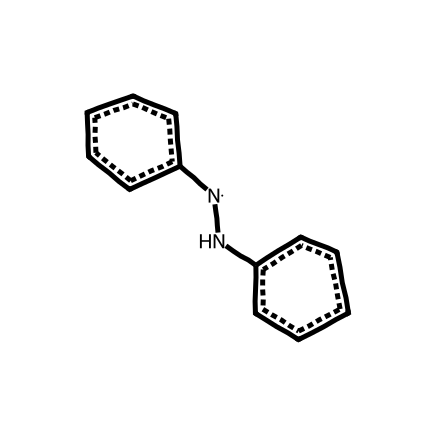 c1ccc([N]Nc2ccccc2)cc1